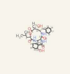 CC(C)CC1OC(=O)[C@H](C)[C@H](O)[C@H](Cc2ccccc2)NC(=O)[C@@H](NC(=O)c2ccccc2O)[C@@H](C)NC1=O